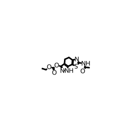 CCOC(=O)Oc1n[nH]c2c1CCc1nc(NC(C)=O)sc1-2